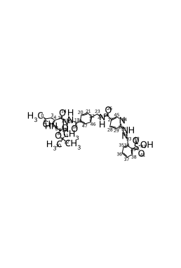 CC(C)C[C@H](NC(=O)OC(C)(C)C)C(=O)NNC(=O)c1ccc(CNC(=O)c2ccc(N/N=C/c3ccccc3S(=O)(=O)O)nc2)cc1